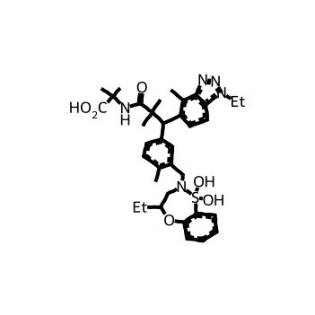 CCC1CN(Cc2cc(C(c3ccc4c(nnn4CC)c3C)C(C)(C)C(=O)NC(C)(C)C(=O)O)ccc2C)S(O)(O)c2ccccc2O1